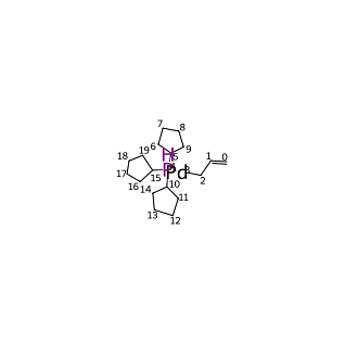 C=C[CH2][Pd][PH](C1CCCC1)(C1CCCC1)C1CCCC1